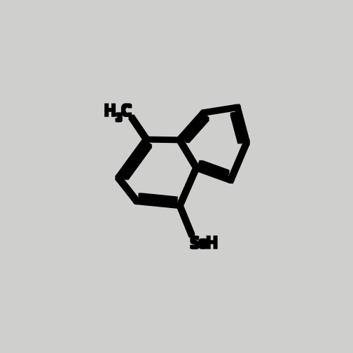 Cc1ccc([SeH])c2ccccc12